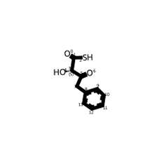 O=C(S)[C@@H](O)C(=O)Cc1ccccc1